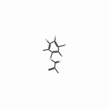 C=C(C)C(=O)Oc1c(C)c(F)c(F)c(F)c1F